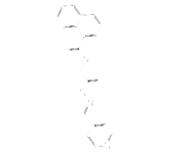 O=C(CNC(=O)c1cccc2ccccc12)N/N=C/c1ccncc1